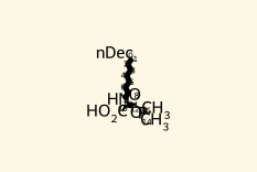 CCCCCCCCCCCCCCCCC(=O)N[C@@H](COP(C)C)C(=O)O